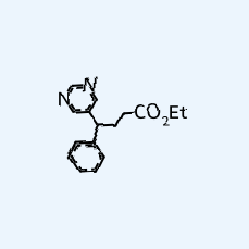 CCOC(=O)CCC(c1ccccc1)c1cncnc1